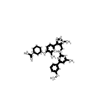 COc1cccc(-c2cc(C)nc(NCc3c(-c4ccc(O[C@H]5CCC[C@H](C(=O)O)C5)c(C)n4)nnn3C)n2)c1